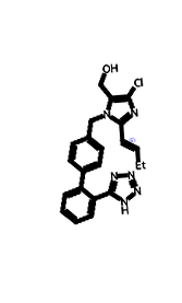 CC/C=C/c1nc(Cl)c(CO)n1Cc1ccc(-c2ccccc2-c2nnn[nH]2)cc1